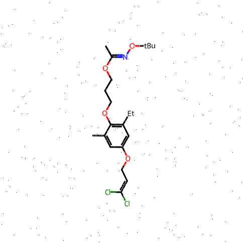 CCc1cc(OCC=C(Cl)Cl)cc(C)c1OCCCOC(C)=NOC(C)(C)C